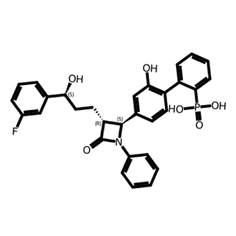 O=C1[C@H](CC[C@H](O)c2cccc(F)c2)[C@@H](c2ccc(-c3ccccc3P(=O)(O)O)c(O)c2)N1c1ccccc1